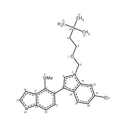 COc1c(-c2cn(COCC[Si](C)(C)C)c3nc(Cl)ccc23)ccc2nccn12